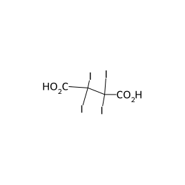 O=C(O)C(I)(I)C(I)(I)C(=O)O